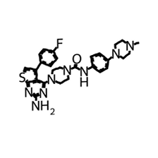 CN1CCN(c2ccc(NC(=O)N3CCN(c4nc(N)nc5scc(-c6ccc(F)cc6)c45)CC3)cc2)CC1